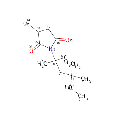 CBC(C)(C)CC(C)(C)N1C(=O)CC(C(C)C)C1=O